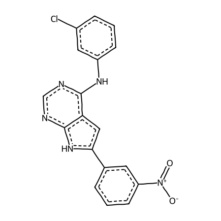 O=[N+]([O-])c1cccc(-c2cc3c(Nc4cccc(Cl)c4)ncnc3[nH]2)c1